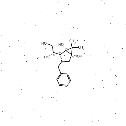 CC1(C)[C@]2(O)[C@@H]([C@H](O)CO)N(Cc3ccccc3)C[C@]12O